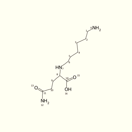 NCCCCCCNC(CCC(N)=O)C(=O)O